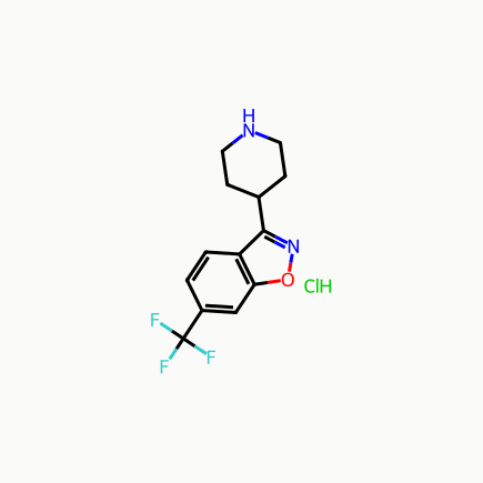 Cl.FC(F)(F)c1ccc2c(C3CCNCC3)noc2c1